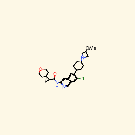 COC1CN(C2CCC(c3cc4cc(NC(=O)C5CC56CCOCC6)ncc4cc3Cl)CC2)C1